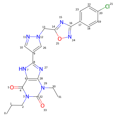 CCCn1c(=O)c2[nH]c(-c3cnn(Cc4nc(-c5ccc(Cl)cc5)no4)c3)nc2n(CC)c1=O